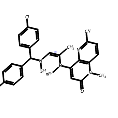 CCCN(/C(C)=C\N(S)C(c1ccc(Cl)cc1)c1ccc(Cl)cc1)c1cc(=O)n(C)c2ccc(C#N)nc12